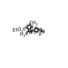 CCOC(=O)c1cc(C)nc2c1c(C)nn2-c1ccc(OC(F)F)cc1